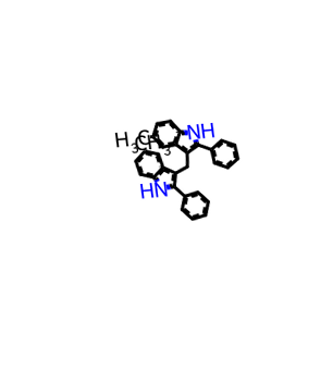 Cc1ccc2[nH]c(-c3ccccc3)c(Cc3c(-c4ccccc4)[nH]c4ccc(C)cc34)c2c1